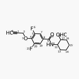 C#CCOc1c(F)cc(C(=O)NC2CCCCC2C=O)cc1F